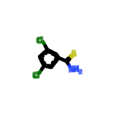 NC(=S)c1cc(Cl)cc(Cl)c1